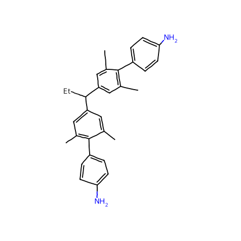 CCC(c1cc(C)c(-c2ccc(N)cc2)c(C)c1)c1cc(C)c(-c2ccc(N)cc2)c(C)c1